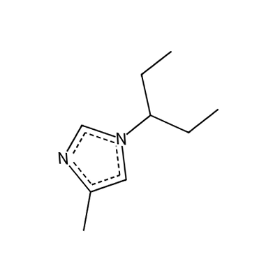 CCC(CC)n1cnc(C)c1